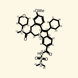 COc1ccc2c(c1)CC(C(=O)N(C)C1CCOCC1)Cn1c-2c(C2CCCCC2)c2ccc(C(=O)NS(=O)(=O)N(C)C)cc21